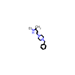 C=C(/C=C/N1CCN(Cc2ccccc2)CC1)NCC